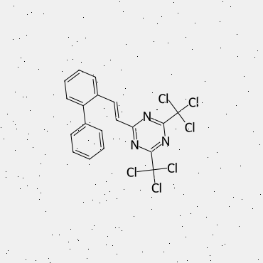 ClC(Cl)(Cl)c1nc(/C=C/c2ccccc2-c2ccccc2)nc(C(Cl)(Cl)Cl)n1